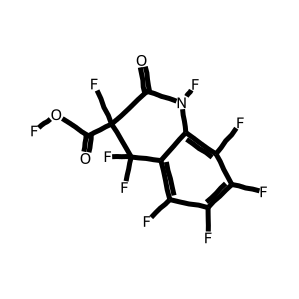 O=C(OF)C1(F)C(=O)N(F)c2c(F)c(F)c(F)c(F)c2C1(F)F